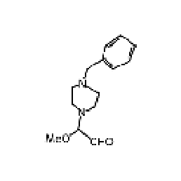 COC(C=O)N1CCN(Cc2ccccc2)CC1